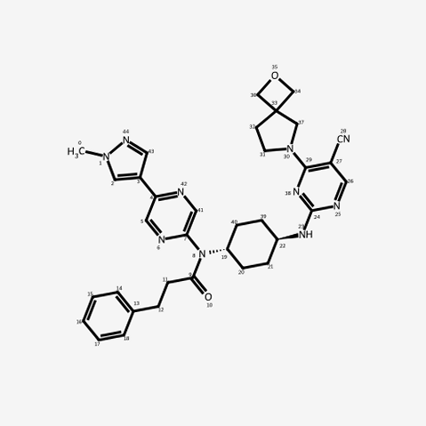 Cn1cc(-c2cnc(N(C(=O)CCc3ccccc3)[C@H]3CC[C@H](Nc4ncc(C#N)c(N5CCC6(COC6)C5)n4)CC3)cn2)cn1